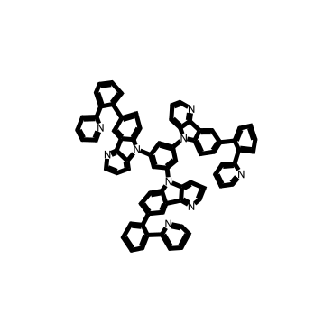 c1ccc(-c2ccccc2-c2ccc3c(c2)c2ncccc2n3-c2cc(-n3c4ccc(-c5ccccc5-c5ccccn5)cc4c4ncccc43)cc(-n3c4ccc(-c5ccccc5-c5ccccn5)cc4c4ncccc43)c2)nc1